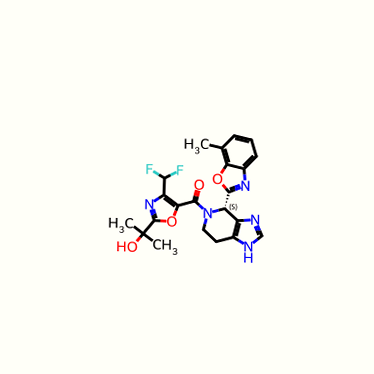 Cc1cccc2nc([C@@H]3c4nc[nH]c4CCN3C(=O)c3oc(C(C)(C)O)nc3C(F)F)oc12